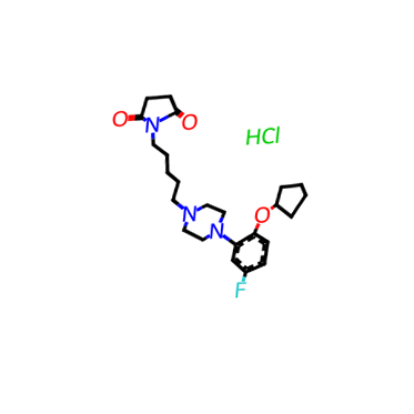 Cl.O=C1CCC(=O)N1CCCCCN1CCN(c2cc(F)ccc2OC2CCCC2)CC1